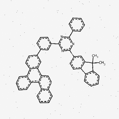 CC1(C)c2ccccc2-c2ccc(-c3nc(-c4ccccc4)nc(-c4cccc(-c5ccc6c7ccccc7c7c8ccccc8ccc7c6c5)c4)n3)cc21